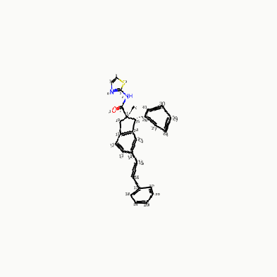 C[C@]1(C(=O)Nc2nccs2)Cc2ccc(/C=C/c3ccccc3)cc2[C@H]1c1ccccc1